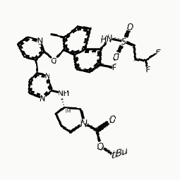 Cc1ccc2c(NS(=O)(=O)CCC(F)F)c(F)ccc2c1Oc1ncccc1-c1ccnc(N[C@H]2CCCN(C(=O)OC(C)(C)C)C2)n1